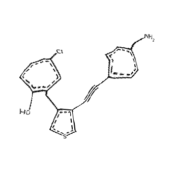 Nc1ccc(C#Cc2cscc2-c2cc(Cl)ccc2O)cc1